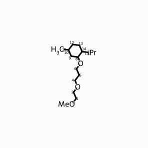 COCCOCCCOC1CC(C)CCC1C(C)C